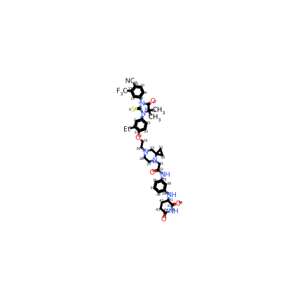 CCc1cc(N2C(=S)N(c3ccc(C#N)c(C(F)(F)F)c3)C(=O)C2(C)C)ccc1OCCN1CCN(CC(=O)Nc2cccc(NC3CCC(=O)NC3=O)c2)C2(CC2)C1